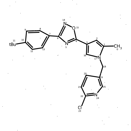 Cc1cc(-c2nc(-c3ccc(C(C)(C)C)cc3)no2)cn1Cc1ccc(Cl)nc1